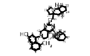 Cc1cccc2cc(O)cc(N3CCc4c(nc(OCC56CCCN5[C@@H]5CCC[C@]5(F)C6)nc4N4CC5CCC(C4)N5)C3)c12